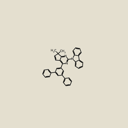 CC1(C)C=Cc2c(-c3cc(-c4ccccc4)cc(-c4ccccc4)c3)nc(-n3c4ccccc4c4ccccc43)nc21